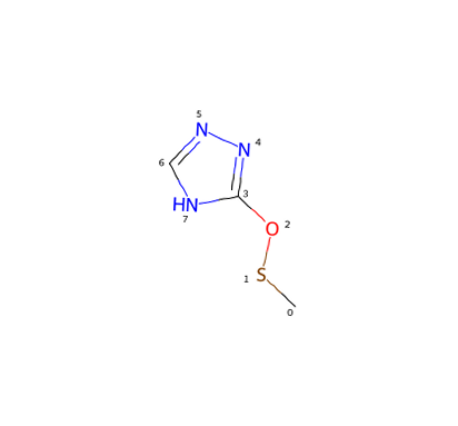 CSOc1nnc[nH]1